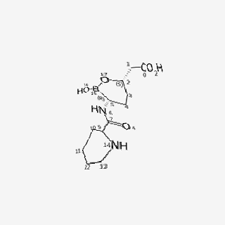 O=C(O)C[C@@H]1CC[C@H](NC(=O)C2CCCCN2)B(O)O1